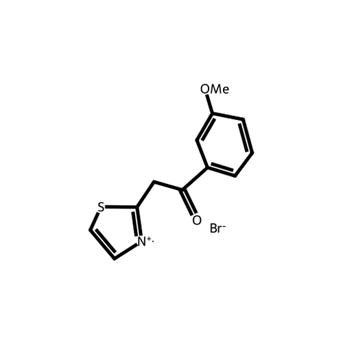 COc1cccc(C(=O)CC2=[N+]C=CS2)c1.[Br-]